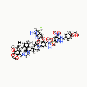 COc1ccc(CN2CCN(C3CC4(CCN(c5ccc(C(=O)NS(=O)(=O)c6cnc(NCC7CCC(C)(O)CC7)c([N+](=O)[O-])c6)c(Oc6cc7c(F)c[nH]c7nc6OC)c5)CC4)C3)[C@H](c3ccccc3C(C)C)C2)c2c1OCCO2